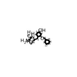 CC(Cc1ccccc1OCc1ccccc1)N[C@@H](C)C(N)=O.Cl